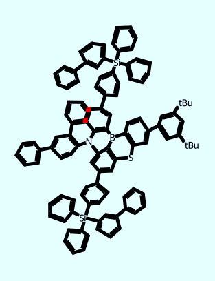 CC(C)(C)c1cc(-c2ccc3c(c2)Sc2cc(-c4ccc([Si](c5ccccc5)(c5ccccc5)c5cccc(-c6ccccc6)c5)cc4)cc4c2B3c2cc(-c3ccc([Si](c5ccccc5)(c5ccccc5)c5cccc(-c6ccccc6)c5)cc3)ccc2N4c2ccc(-c3ccccc3)cc2-c2ccccc2)cc(C(C)(C)C)c1